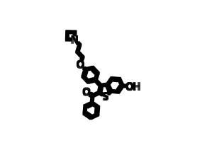 O=C(c1ccccc1)c1sc2cc(O)ccc2c1-c1ccc(OCCCN2CCC2)cc1